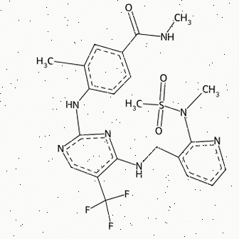 CNC(=O)c1ccc(Nc2ncc(C(F)(F)F)c(NCc3cccnc3N(C)S(C)(=O)=O)n2)c(C)c1